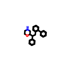 c1ccc(-c2ccccc2CC(c2ccccc2)C2CNCCO2)cc1